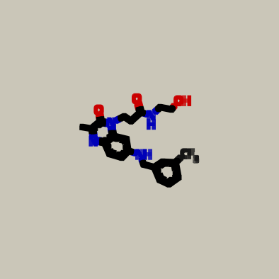 Cc1nc2ccc(NCc3cccc(C(F)(F)F)c3)cc2n(CCC(=O)NCCO)c1=O